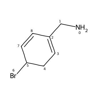 NCC1=CCC(Br)C=C1